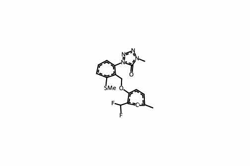 CSc1cccc(-n2nnn(C)c2=O)c1COc1ccc(C)cc1C(F)F